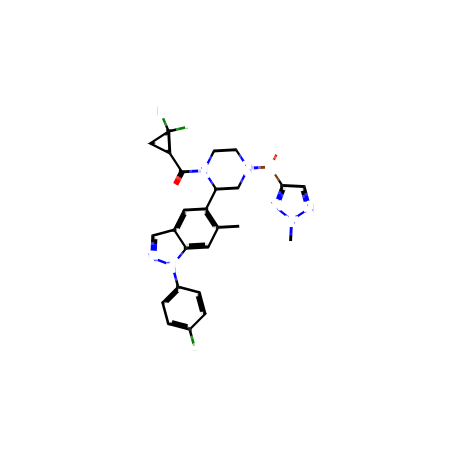 Cc1cc2c(cnn2-c2ccc(F)cc2)cc1C1CN([S+]([O-])c2cnn(C)n2)CCN1C(=O)C1CC1(F)F